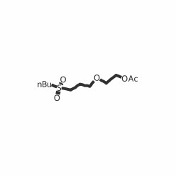 CCCCS(=O)(=O)CCCOCCOC(C)=O